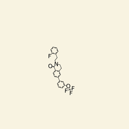 O=C1c2ccc(-c3cccc(OC(F)(F)F)c3)cc2CCN1CCc1ccccc1F